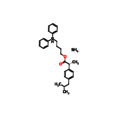 CC(C)Cc1ccc([C@@H](C)C(=O)OCCCC[SiH](c2ccccc2)c2ccccc2)cc1.[SiH4]